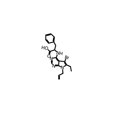 C=CCn1c(CC)c(Br)c2c(NC(Cc3ccccc3)C(=O)O)ncnc21